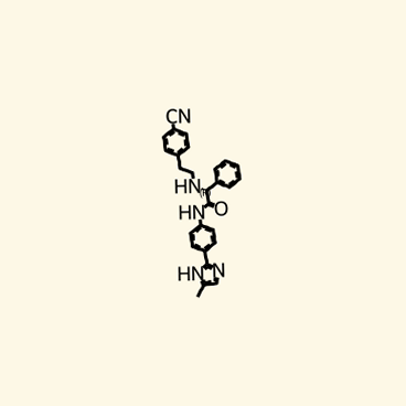 Cc1cnc(-c2ccc(NC(=O)[C@H](NCCc3ccc(C#N)cc3)c3ccccc3)cc2)[nH]1